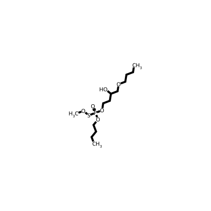 CCCCOCC(O)CCOP(=O)(OCCCC)SOC